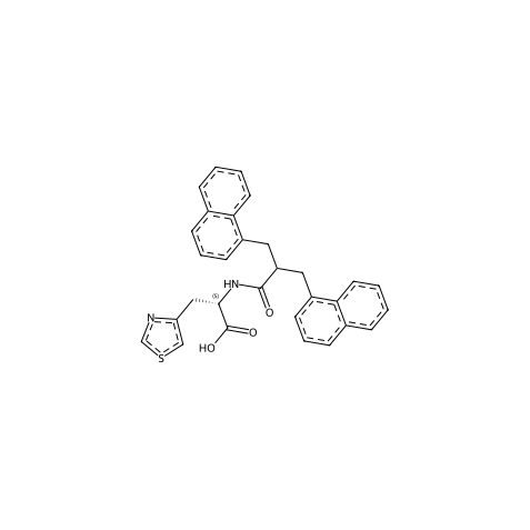 O=C(N[C@@H](Cc1cscn1)C(=O)O)C(Cc1cccc2ccccc12)Cc1cccc2ccccc12